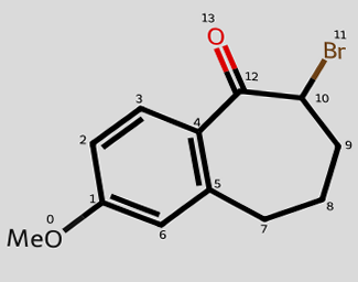 COc1ccc2c(c1)CCCC(Br)C2=O